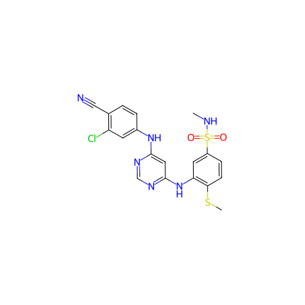 CNS(=O)(=O)c1ccc(SC)c(Nc2cc(Nc3ccc(C#N)c(Cl)c3)ncn2)c1